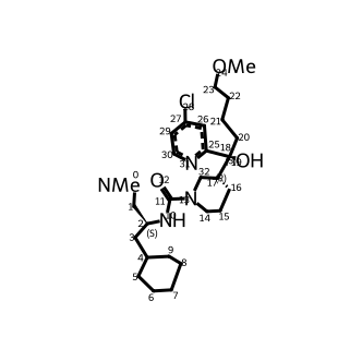 CNC[C@H](CC1CCCCC1)NC(=O)N1CCC[C@@H]([C@@](O)(CCCCOC)c2cc(Cl)ccn2)C1